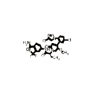 CC[C@@H](C(=O)Nc1ccc(C(N)=O)c(C(F)(F)F)c1)n1cc(OC)c(-c2cc(Cl)ccc2-n2cc(Cl)nn2)cc1=O